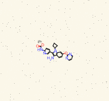 CC(C)OC(=O)Nc1ccc(-c2c(N)c3ccc(Oc4ncccn4)cc3n2C2CCC2)cn1